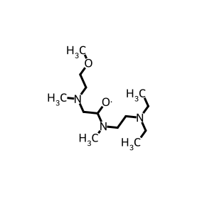 CCN(CC)CCN(C)C([O])CN(C)CCOC